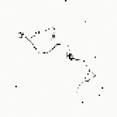 CCC1=CC=C(CNCC2CC2C)CC1